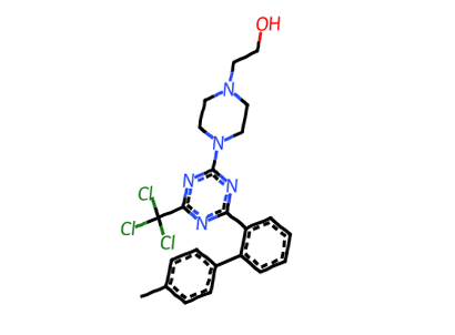 Cc1ccc(-c2ccccc2-c2nc(N3CCN(CCO)CC3)nc(C(Cl)(Cl)Cl)n2)cc1